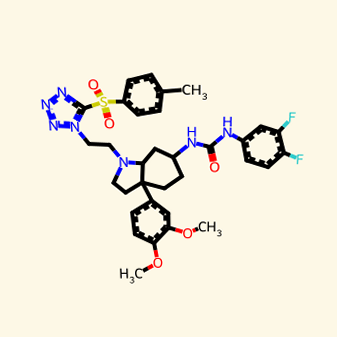 COc1ccc(C23CCC(NC(=O)Nc4ccc(F)c(F)c4)CC2N(CCn2nnnc2S(=O)(=O)c2ccc(C)cc2)CC3)cc1OC